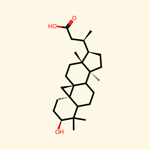 C[C@H](CC(=O)O)[C@H]1CC[C@@]2(C)C3CCC4C(C)(C)[C@@H](O)CC[C@@]45C[C@@]35CC[C@]12C